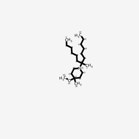 CCCCCCC(C)(CCCCCC)N1CCC(C)(OC)CC1